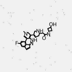 CN1C=C2C(=C(C3=CCC(CC(=O)N(C)C4CC(O)C4)NC3)C1)NN=C1C=Cc3cc(F)cc2c31